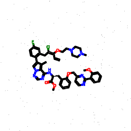 C=C/C(OCCN1CCN(C)CC1)=C(/Cl)Cc1cc(F)ccc1-c1cn2ncnc(N[C@H](Cc3ccccc3OCc3ccnc(-c4ccccc4OC)n3)C(=O)OC)c2c1C